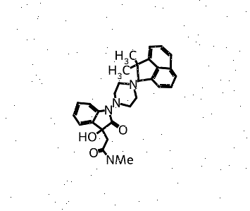 CNC(=O)CC1(O)C(=O)N(N2CCN(C3c4cccc5cccc(c45)C3(C)C)CC2)c2ccccc21